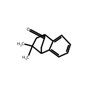 CC1(C)CC2C(=O)CC1c1ccccc12